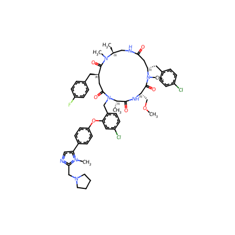 COC[C@@H]1NC(=O)[C@H](C)N(Cc2ccc(Cl)cc2Oc2ccc(-c3cnc(CN4CCCC4)n3C)cc2)C(=O)C[C@@H](Cc2ccc(F)cc2)C(=O)N(C)[C@@H](C)CNC(=O)C[C@H](Cc2ccc(Cl)cc2)N(C)C1=O